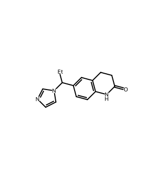 CCC(c1ccc2c(c1)CCC(=O)N2)n1ccnc1